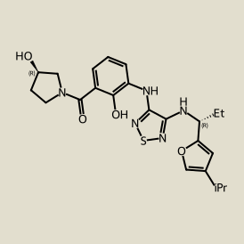 CC[C@@H](Nc1nsnc1Nc1cccc(C(=O)N2CC[C@@H](O)C2)c1O)c1cc(C(C)C)co1